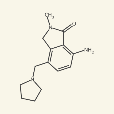 CN1Cc2c(CN3CCCC3)ccc(N)c2C1=O